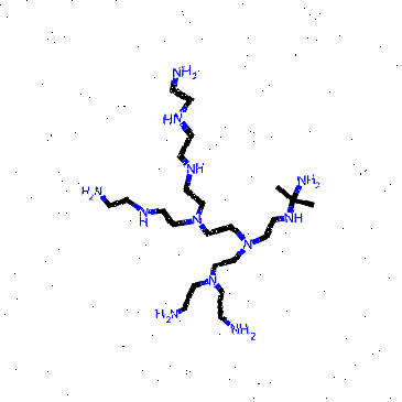 CC(C)(N)NCCN(CCN(CCN)CCN)CCN(CCNCCN)CCNCCNCCN